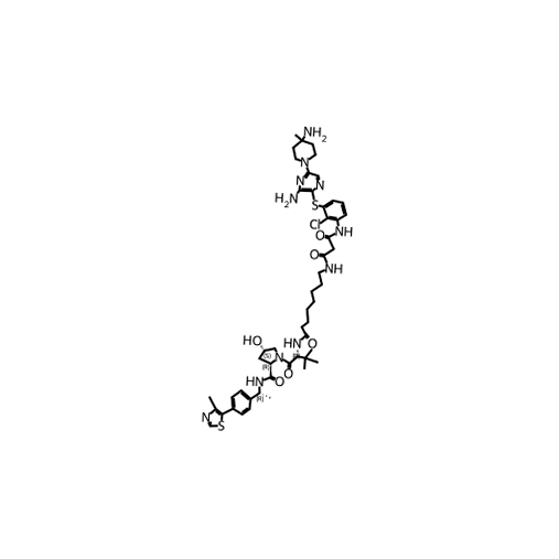 Cc1ncsc1-c1ccc([C@@H](C)NC(=O)[C@H]2C[C@H](O)CN2C(=O)[C@H](NC(=O)CCCCCCCNC(=O)CC(=O)Nc2cccc(Sc3ncc(N4CCC(C)(N)CC4)nc3N)c2Cl)C(C)(C)C)cc1